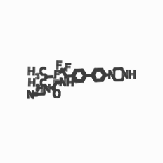 CC(C)C[C@H](NC(c1ccc(-c2ccc(N3CCNCC3)cc2)cc1)C(F)(F)F)C(=O)NCC#N